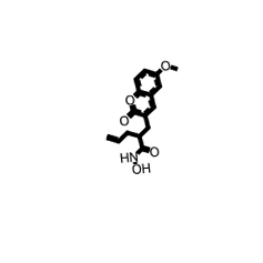 C=CCC(Cc1cc2cc(OC)ccc2oc1=O)C(=O)NO